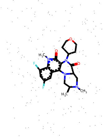 CC1CN2c3c(c(=O)n(C)c4c(F)cc(F)cc34)N(C3CCOCC3)C(=O)C2CN1C